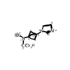 CC(C)(C)N(C(=O)O)C12CC(n3ccnc3)(C1)C2